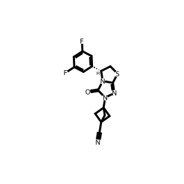 N#CC12CC(n3nc4n(c3=O)[C@H](c3cc(F)cc(F)c3)CS4)(C1)C2